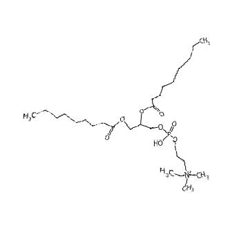 CCCCCCCCC(=O)OCC(COP(=O)(O)OCC[N+](C)(C)C)OC(=O)CCCCCCCC